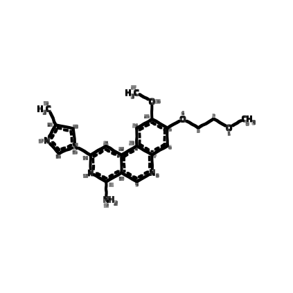 COCCOc1cc2ncc3c(N)nc(-n4cnc(C)c4)cc3c2cc1OC